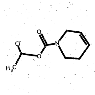 CC(Cl)OC(=O)N1CC=[C]CC1